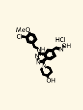 COc1ccc(CNc2nnc(N3CCC(O)CC3)c3ccc(C=NO)cc23)cc1Cl.Cl